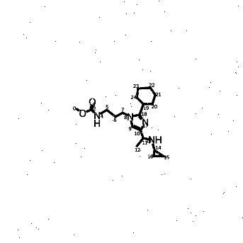 COC(=O)NCCCn1cc(C(C)NC2CC2)nc1C1CCCCC1